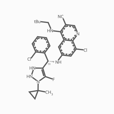 CC(C)(C)CNc1c(C#N)cnc2c(Cl)cc(N[C@H](C3=C(F)N(C4(C)CC4)NN3)c3ccccc3Cl)cc12